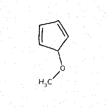 COC1C=CC=C1